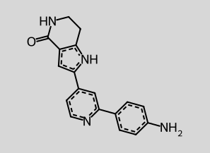 Nc1ccc(-c2cc(-c3cc4c([nH]3)CCNC4=O)ccn2)cc1